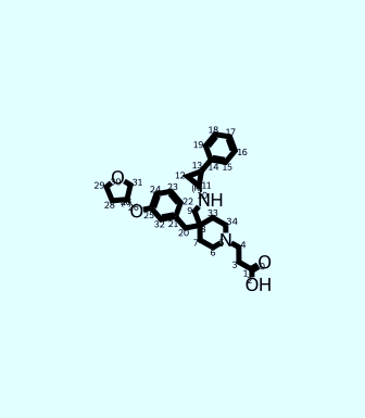 O=C(O)CCN1CCC(CN[C@@H]2CC2c2ccccc2)(Cc2cccc(O[C@@H]3CCOC3)c2)CC1